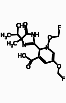 CC(C)C1(C)N=C(C2C(C(=O)O)=CC(OCF)=CN2OCF)NC1=O